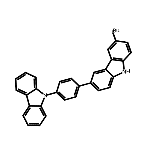 CCC(C)c1ccc2[nH]c3ccc(-c4ccc(-n5c6ccccc6c6ccccc65)cc4)cc3c2c1